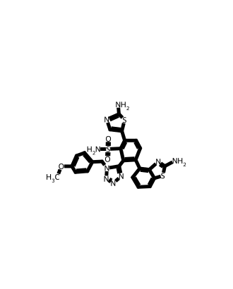 COc1ccc(Cn2nnnc2-c2c(-c3cccc4sc(N)nc34)ccc(-c3cnc(N)s3)c2S(N)(=O)=O)cc1